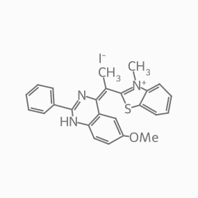 COc1ccc2c(c1)C(=C(C)c1sc3ccccc3[n+]1C)N=C(c1ccccc1)N2.[I-]